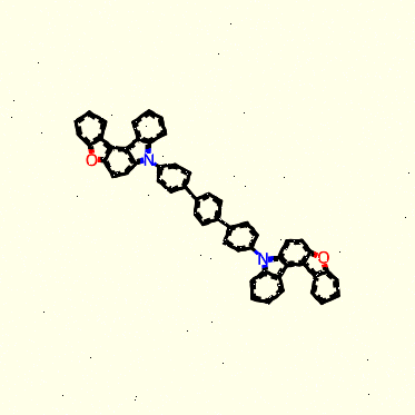 c1ccc2c(c1)oc1ccc3c(c4ccccc4n3-c3ccc(-c4ccc(-c5ccc(-n6c7ccccc7c7c8c(ccc76)oc6ccccc68)cc5)cc4)cc3)c12